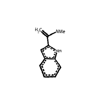 C=C(NC)c1cc2ccccc2[nH]1